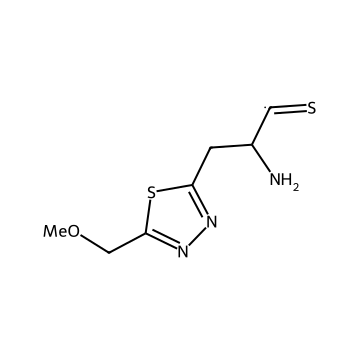 COCc1nnc(CC(N)[C]=S)s1